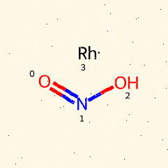 O=NO.[Rh]